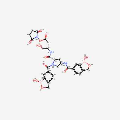 O=C(C[C@@H](CO)NC(=O)[C@@H]1C[C@@H](NC(=O)c2ccc3c(c2)B(O)OC3)CN1C(=O)c1ccc2c(c1)B(O)OC2)ON1C(=O)CCC1=O